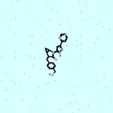 CCc1ccc(CC2C(=O)N(c3cc(-c4ccncn4)n[nH]3)C3CC23)cc1